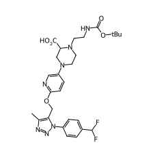 Cc1nnn(-c2ccc(C(F)F)cc2)c1COc1ccc(N2CCN(CCNC(=O)OC(C)(C)C)C(C(=O)O)C2)cn1